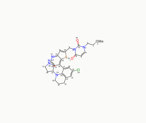 COCCn1ccc(=O)n(Cc2cc3nccc(-c4cc(Cl)cc5c4N(C4CCNC4)CCC5)c3s2)c1=O